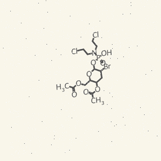 CC(=O)OCC1OC(OP(=O)(O)N(CCCl)CCCl)C(Br)CC1OC(C)=O